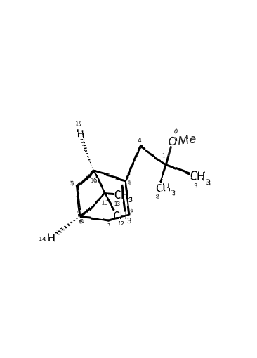 COC(C)(C)CC1=CC[C@H]2C[C@@H]1C2(C)C